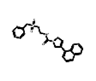 O=C(NCCS(=O)(=O)Cc1ccccc1)N1CC=C(c2cccc3ccccc23)C1